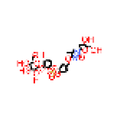 Cc1cn([C@H]2CC(O)[C@@H](CO)O2)c(=O)nc1OCc1ccc(OS(=O)(=O)Oc2ccccc2O[C@@H]2O[C@H](CO)[C@H](O)[C@H](O)[C@H]2O)cc1